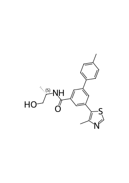 Cc1ccc(-c2cc(C(=O)N[C@@H](C)CO)cc(-c3scnc3C)c2)cc1